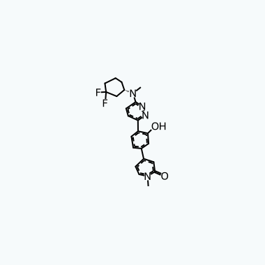 CN(c1ccc(-c2ccc(-c3ccn(C)c(=O)c3)cc2O)nn1)[C@H]1CCCC(F)(F)C1